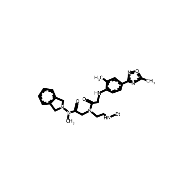 CCNCCN(CC(=O)N(C)N1Cc2ccccc2C1)C(=O)CNc1ccc(-c2noc(C)n2)cc1C